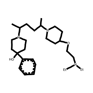 CCN(CC)CCOC1CCN(C(C)CCC(C)N2CCC(O)(c3ccccc3)CC2)CC1